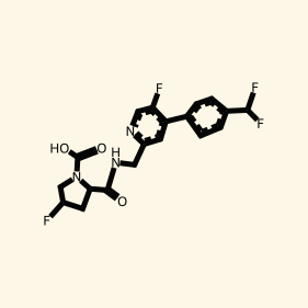 O=C(NCc1cc(-c2ccc(C(F)F)cc2)c(F)cn1)C1CC(F)CN1C(=O)O